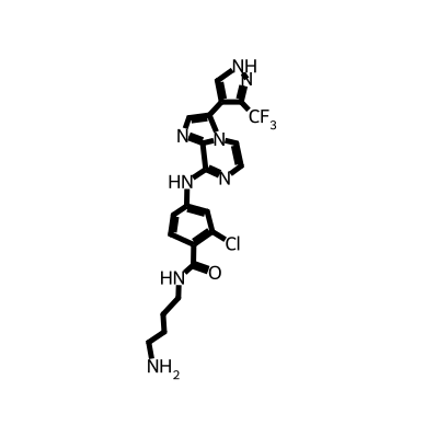 NCCCCNC(=O)c1ccc(Nc2nccn3c(-c4c[nH]nc4C(F)(F)F)cnc23)cc1Cl